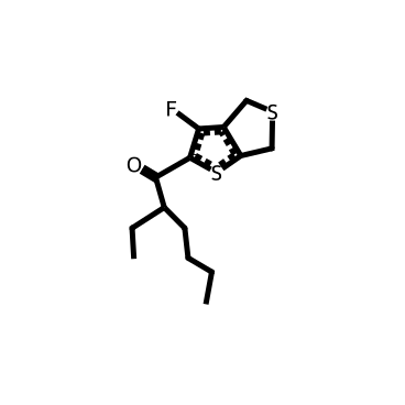 CCCCC(CC)C(=O)c1sc2c(c1F)CSC2